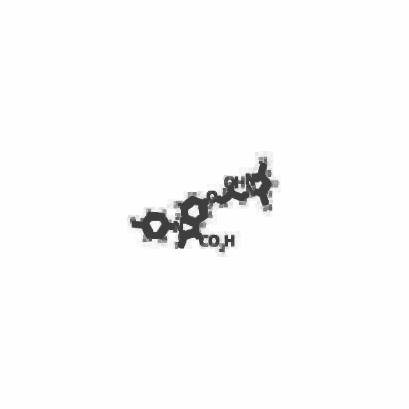 Cc1ccc(-n2c(C)c(C(=O)O)c3cc(OCC(O)Cn4nc(C)cc4C)ccc32)cc1